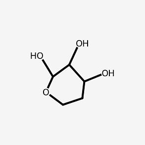 OC1CCOC(O)C1O